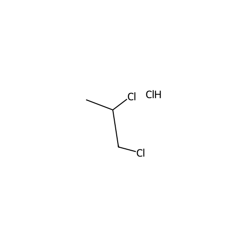 CC(Cl)CCl.Cl